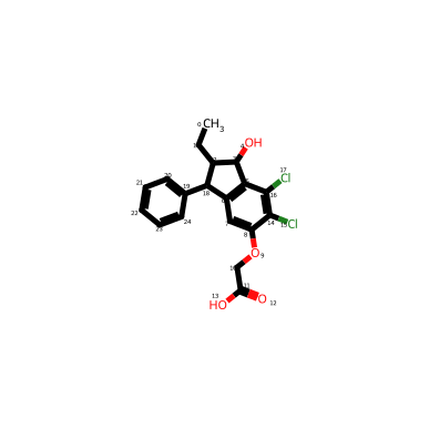 CCC1C(O)c2c(cc(OCC(=O)O)c(Cl)c2Cl)C1c1ccccc1